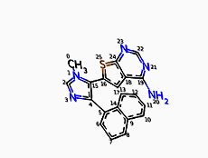 Cn1cnc(-c2cccc3ccccc23)c1-c1cc2c(N)ncnc2s1